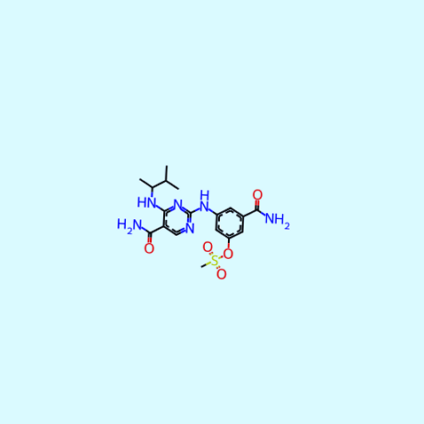 CC(C)C(C)Nc1nc(Nc2cc(OS(C)(=O)=O)cc(C(N)=O)c2)ncc1C(N)=O